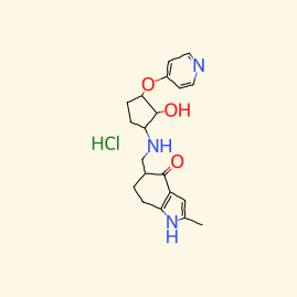 Cc1cc2c([nH]1)CCC(CNC1CCC(Oc3ccncc3)C1O)C2=O.Cl